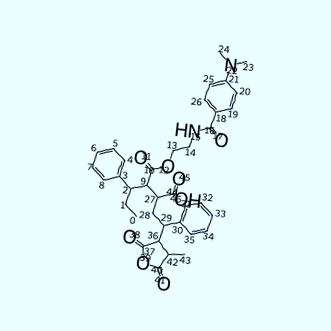 CCC(c1ccccc1)C(C(=O)OCCNC(=O)c1ccc(N(C)C)cc1)C(CC(c1ccccc1)C1C(=O)OC(=O)C1C)C(=O)O